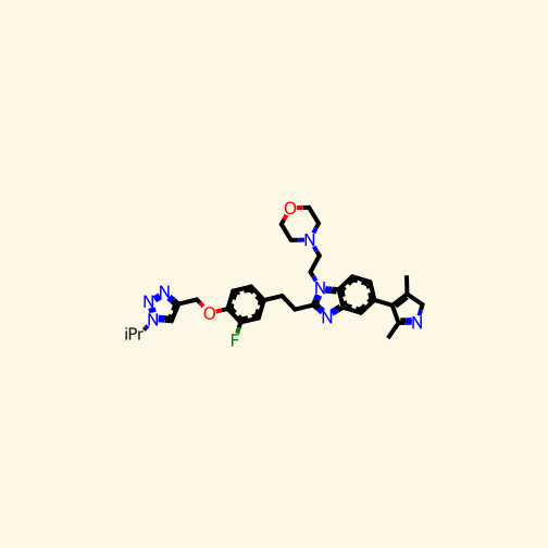 CC1=NCC(C)=C1c1ccc2c(c1)nc(CCc1ccc(OCc3cn(C(C)C)nn3)c(F)c1)n2CCN1CCOCC1